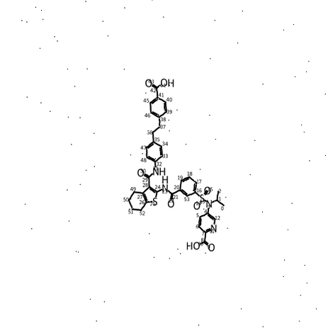 CC(C)N(c1ccc(C(=O)O)nc1)S(=O)(=O)c1cccc(C(=O)Nc2sc3c(c2C(=O)Nc2ccc(CCc4ccc(C(=O)O)cc4)cc2)CCCC3)c1